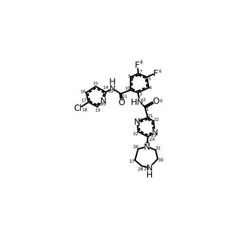 O=C(Nc1cc(F)c(F)cc1C(=O)Nc1ccc(Cl)cn1)c1cnc(N2CCCNCC2)cn1